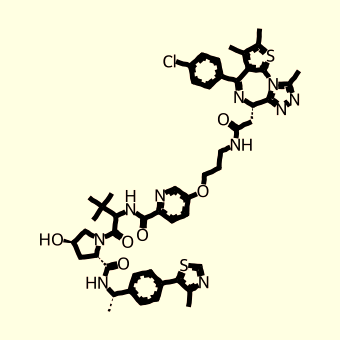 Cc1ncsc1-c1ccc([C@H](C)NC(=O)[C@@H]2C[C@@H](O)CN2C(=O)C(NC(=O)c2ccc(OCCCNC(=O)C[C@@H]3N=C(c4ccc(Cl)cc4)c4c(sc(C)c4C)-n4c(C)nnc43)cn2)C(C)(C)C)cc1